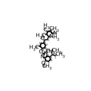 CCC(CC)c1ccc(OC)c2nc(Oc3ccc(C(=O)Cc4nc(N)c(C)c(C)c4C)cc3C)n(C)c12